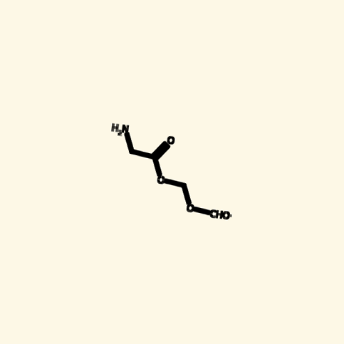 NCC(=O)OCO[C]=O